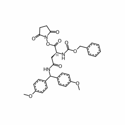 COc1ccc(C(NC(=O)C[C@H](NC(=O)OCc2ccccc2)C(=O)ON2C(=O)CCC2=O)c2ccc(OC)cc2)cc1